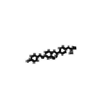 CCN(CC)Cc1ccc(C(F)Cn2ccc(OCc3ccc(F)cc3)cc2=O)cc1